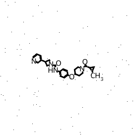 CC1CC1C(=O)N1CCC(Oc2ccc(NC(=O)N3CC(c4cccnc4)C3)cc2)CC1